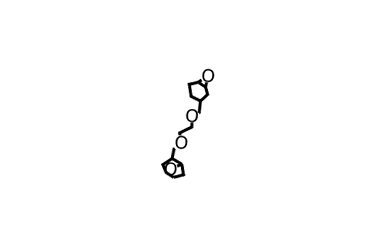 C(COCC1CCC2CC1O2)OCC1CCC2OC2C1